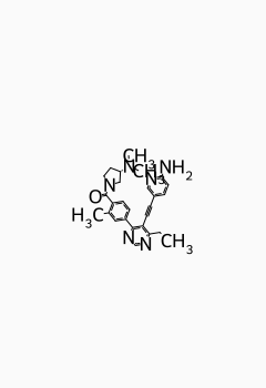 CCc1ncnc(-c2ccc(C(=O)N3CC[C@H](N(C)C)C3)c(C)c2)c1C#Cc1ccc(N)nc1